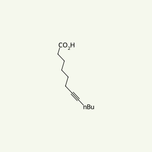 CCCCC#CCCCCCC(=O)O